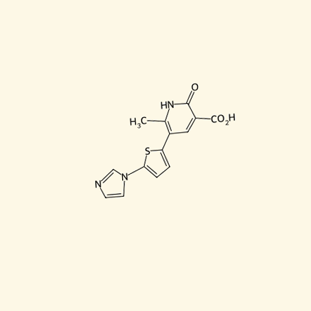 Cc1[nH]c(=O)c(C(=O)O)cc1-c1ccc(-n2ccnc2)s1